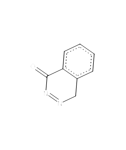 O=C1N=NCc2[c]cccc21